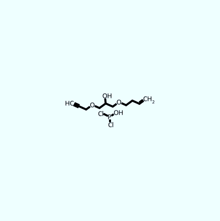 C#CCOCC(O)COCCC=C.OP(Cl)Cl